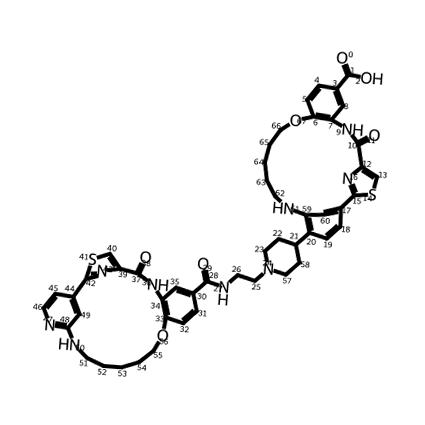 O=C(O)c1ccc2c(c1)NC(=O)c1csc(n1)-c1ccc(C3CCN(CCNC(=O)c4ccc5c(c4)NC(=O)c4csc(n4)-c4ccnc(c4)NCCCCCO5)CC3)c(c1)NCCCCCO2